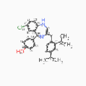 CC(C)c1ccc(CC2=CNc3ccc(Cl)cc3C(c3ccc(O)cc3)=N2)c(C(C)C)c1